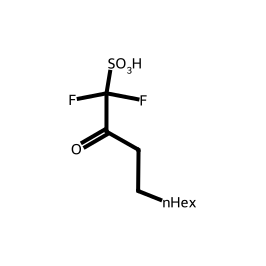 CCCCCCCCC(=O)C(F)(F)S(=O)(=O)O